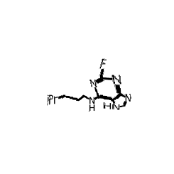 CC(C)CCCNc1nc(F)nc2nc[nH]c12